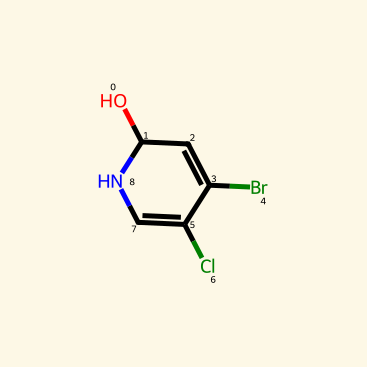 OC1C=C(Br)C(Cl)=CN1